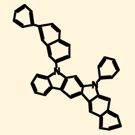 c1ccc(-c2ccc3ccc(-n4c5ccccc5c5cc6c7cc8ccccc8cc7n(-c7ccccc7)c6cc54)cc3c2)cc1